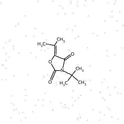 CC(C)=C1OC(=O)N(C(C)(C)C)C1=O